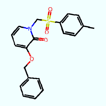 Cc1ccc(S(=O)(=O)Cn2cccc(OCc3ccccc3)c2=O)cc1